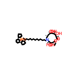 CC[C@H]1OC(=O)[C@H](C)[C@@H](O)[C@H](C)[C@@H](O)[C@](C)(O)C[C@@H](C)CN(CCCCCCCCCCCCCC[PH](c2ccccc2)(c2ccccc2)c2ccccc2)[C@H](C)[C@@H](O)[C@]1(C)O